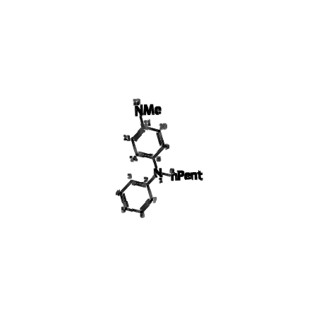 CCCCCN(c1ccccc1)c1ccc(NC)cc1